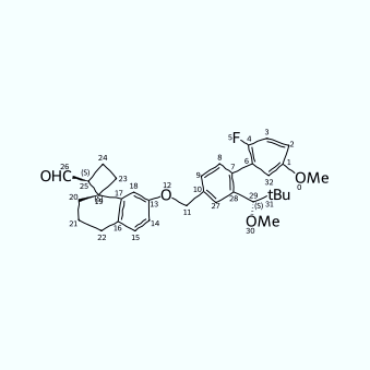 COc1ccc(F)c(-c2ccc(COc3ccc4c(c3)[C@@]3(CCC4)CC[C@@H]3C=O)cc2[C@@H](OC)C(C)(C)C)c1